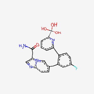 NC(=O)c1cnc2ccc(-c3cc(F)ccc3-c3cccc(C(O)(O)O)n3)cn12